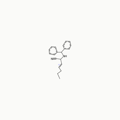 CCC/C=C/C(C#N)NC(c1ccccc1)c1ccccc1